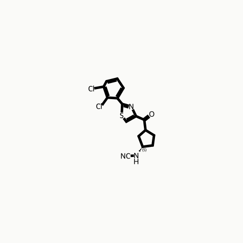 N#CN[C@H]1CCC(C(=O)c2csc(-c3cccc(Cl)c3Cl)n2)C1